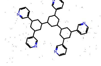 c1cncc(C2CC(c3cccnc3)CC(C3CC(c4cccnc4)CC(C4CC(c5cccnc5)CC(c5cccnc5)C4)C3)C2)c1